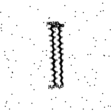 CCCCCCCC/C=C/CCCCCCCCCCCC(=O)O.CCCCCCCC/C=C/CCCCCCCCCCCC(=O)O